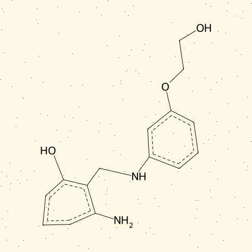 Nc1cccc(O)c1CNc1cccc(OCCO)c1